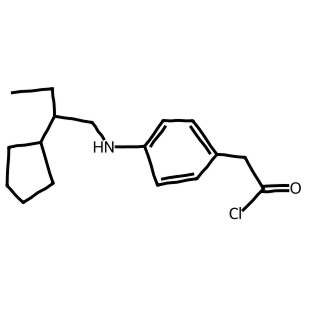 CCC(CNc1ccc(CC(=O)Cl)cc1)C1CCCC1